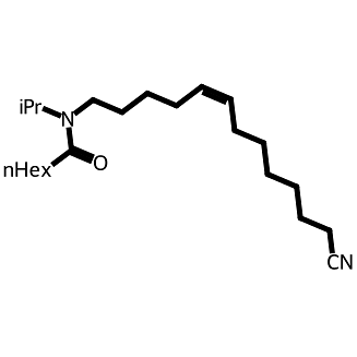 CCCCCCC(=O)N(CCCC/C=C\CCCCCCC#N)C(C)C